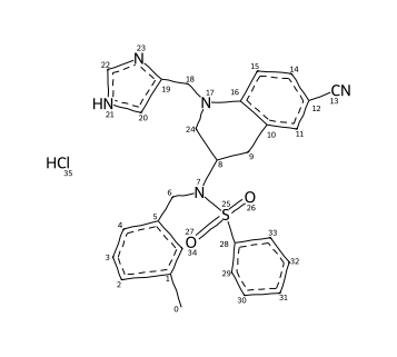 Cc1cccc(CN(C2Cc3cc(C#N)ccc3N(Cc3c[nH]cn3)C2)S(=O)(=O)c2ccccc2)c1.Cl